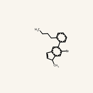 CCCCc1ccccc1-c1cc2c(cc1Br)C(C)C=C2